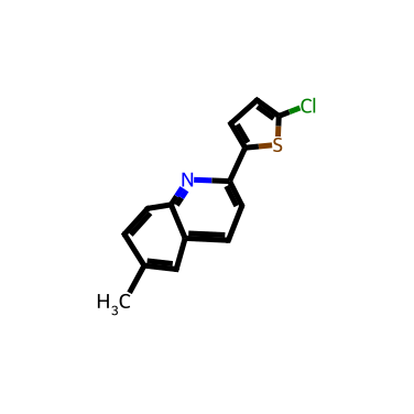 Cc1ccc2nc(-c3ccc(Cl)s3)ccc2c1